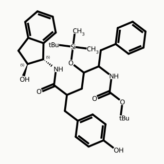 CC(C)(C)OC(=O)NC(Cc1ccccc1)C(CC(Cc1ccc(O)cc1)C(=O)N[C@H]1c2ccccc2C[C@@H]1O)O[Si](C)(C)C(C)(C)C